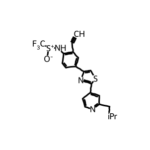 C#Cc1cc(-c2csc(-c3ccnc(CC(C)C)c3)n2)ccc1N[S+]([O-])C(F)(F)F